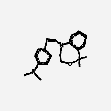 CN(C)c1ccc(/C=C\N2CCOC(C)(C)c3ccccc32)cc1